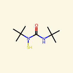 CC(C)(C)NC(=O)N(S)C(C)(C)C